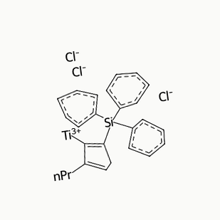 CCCC1=CCC([Si](c2ccccc2)(c2ccccc2)c2ccccc2)=[C]1[Ti+3].[Cl-].[Cl-].[Cl-]